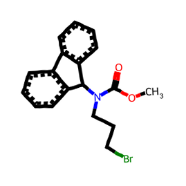 COC(=O)N(CCCBr)C1c2ccccc2-c2ccccc21